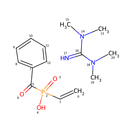 C=CP(=O)(O)C(=O)c1ccccc1.CN(C)C(=N)N(C)C